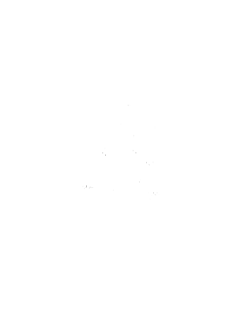 COC(=O)c1c(SC)nn(C2CCCC2)c1N